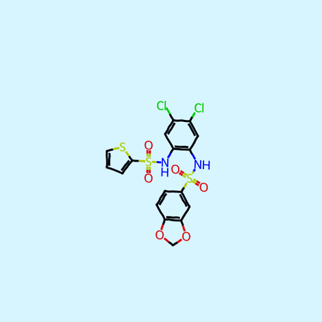 O=S(=O)(Nc1cc(Cl)c(Cl)cc1NS(=O)(=O)c1cccs1)c1ccc2c(c1)OCO2